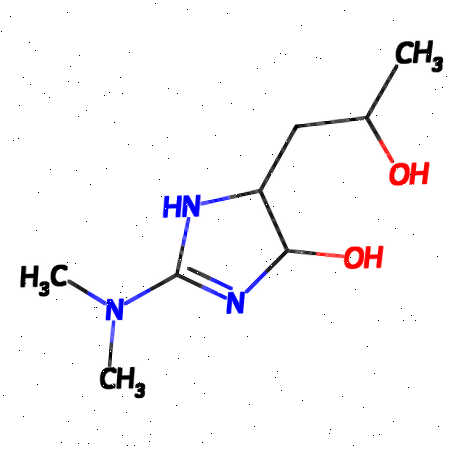 CC(O)CC1NC(N(C)C)=NC1O